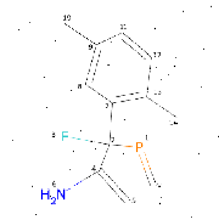 C=PC(F)(C(=C)N)c1cc(C)ccc1C